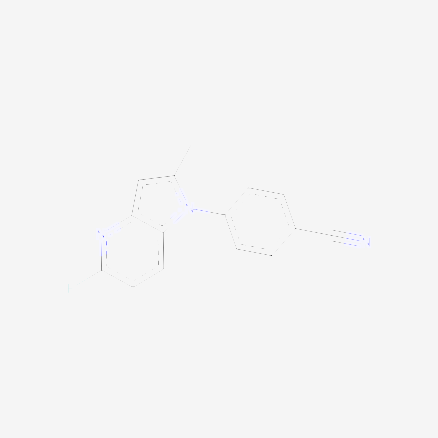 Cc1cc2nc(F)ccc2n1-c1ccc(C#N)cc1